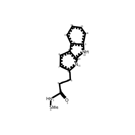 CSNC(=O)CCc1ccc2c(n1)[nH]c1ccccc12